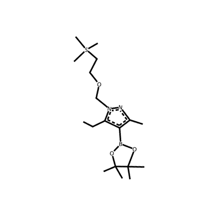 CCc1c(B2OC(C)(C)C(C)(C)O2)c(C)nn1COCCS(C)(C)C